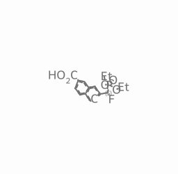 CCOP(=O)(OCC)[C@H](F)c1ccc2ccc(C(=O)O)cc2c1